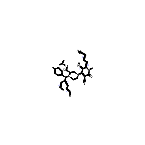 C\C=C/C(=C\C=C\C)C(c1ccc(C)cc1)N1CCN(C2=C(C#N)C(=O)N(C)C(=C/C=C/C#N)/C2=N\C)CC1C(=O)OC(C)C